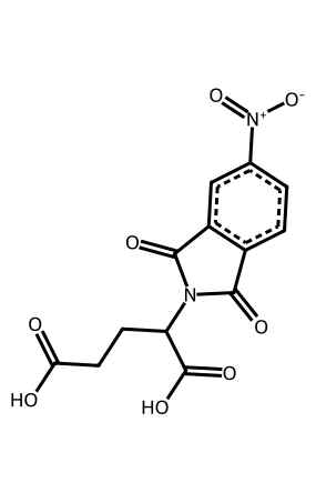 O=C(O)CCC(C(=O)O)N1C(=O)c2ccc([N+](=O)[O-])cc2C1=O